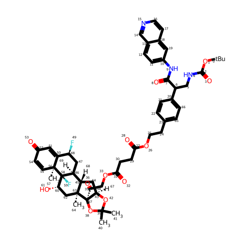 CC(C)(C)OC(=O)NCC(C(=O)Nc1ccc2cnccc2c1)c1ccc(CCOC(=O)CCC(=O)OCC(=O)[C@@]23OC(C)(C)O[C@@H]2C[C@H]2[C@@H]4C[C@H](F)C5=CC(=O)C=C[C@]5(C)[C@@]4(F)[C@@H](O)C[C@@]23C)cc1